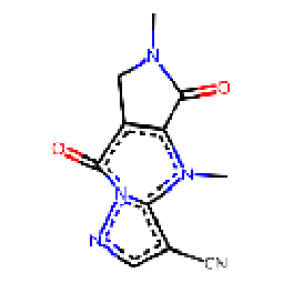 CN1Cc2c(n(C)c3c(C#N)cnn3c2=O)C1=O